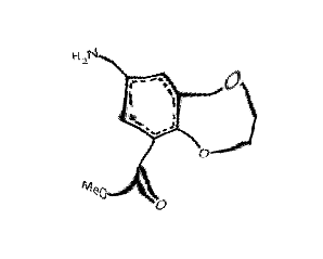 COC(=O)c1cc(N)cc2c1OCCO2